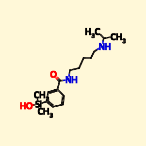 CC(C)NCCCCCNC(=O)c1cccc([Si](C)(C)O)c1